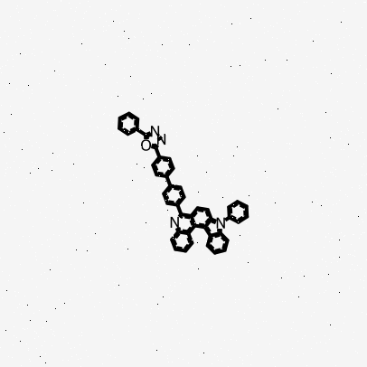 c1ccc(-c2nnc(-c3ccc(-c4ccc(-c5nc6ccccc6c6c5ccc5c6c6ccccc6n5-c5ccccc5)cc4)cc3)o2)cc1